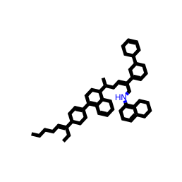 CCCC/C=C(\CC)C1CC=C(C2=C3C=CCCC3C(C(C)C/C=C(\CNC3=C4CCCCC4=CCC3)C3=CCCC(C4CC=CCC4)C3)CC2)CC1